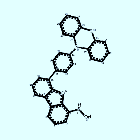 OBc1cccc2c1oc1c(-c3ccc(N4c5ccccc5Sc5ccccc54)cc3)cccc12